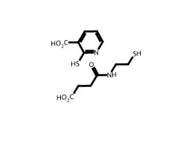 O=C(O)CCC(=O)NCCS.O=C(O)c1cccnc1S